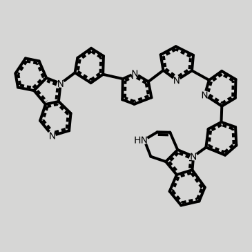 C1=Cc2c(c3ccccc3n2-c2cccc(-c3cccc(-c4cccc(-c5cccc(-c6cccc(-n7c8ccccc8c8cnccc87)c6)n5)n4)n3)c2)CN1